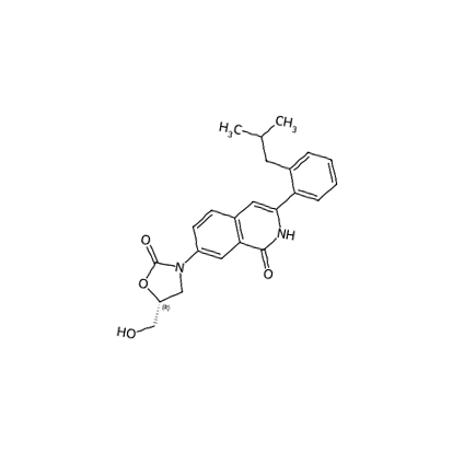 CC(C)Cc1ccccc1-c1cc2ccc(N3C[C@H](CO)OC3=O)cc2c(=O)[nH]1